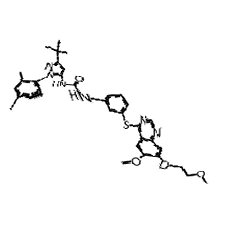 COCCOc1cc2ncnc(Sc3cccc(NC(=O)Nc4cc(C(C)(C)C)nn4-c4ccc(C)cc4C)c3)c2cc1OC